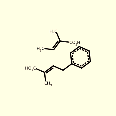 CC(=CCc1ccccc1)C(=O)O.CC=C(C)C(=O)O